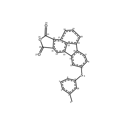 Cc1cccc(Sc2ccc3c(c2)-c2cc4c(c5cccc-3c25)C(=O)OC4=O)c1